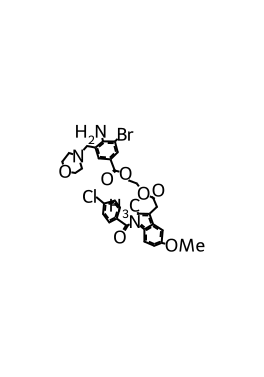 COc1ccc2c(c1)c(CC(=O)OCCOC(=O)c1cc(Br)c(N)c(CN3CCOCC3)c1)c(C)n2C(=O)c1ccc(Cl)cc1